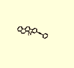 Cn1c2cc(C#Cc3ccccc3)ccc2c2ccc3c4ccccc4ccc3c21